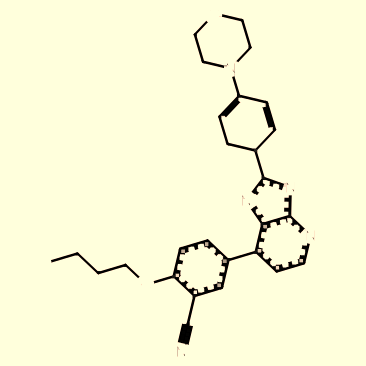 CCCCOc1ccc(-c2ccnc3[nH]c(C4C=CC(N5CCOCC5)=CC4)nc23)cc1C#N